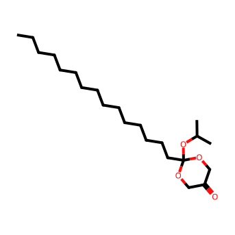 CCCCCCCCCCCCCCCC1(OC(C)C)OCC(=O)CO1